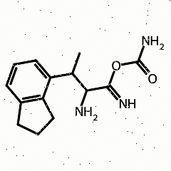 CC(c1cccc2c1CCC2)C(N)C(=N)OC(N)=O